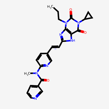 CCCn1c(=O)n(C2CC2)c(=O)c2[nH]c(/C=C/c3ccc(N(C)C(=O)c4cccnc4)nc3)nc21